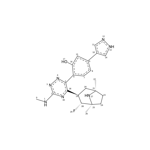 CNc1nnc(-c2ccc(-c3cn[nH]c3)cc2O)c([C@H]2C[C@@]3(C)CC[C@](C)(N3)[C@@H]2F)n1